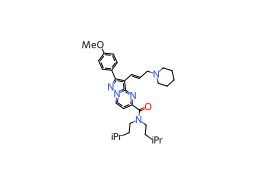 COc1ccc(-c2nn3ccc(C(=O)N(CCC(C)C)CCC(C)C)nc3c2C=CCN2CCCCC2)cc1